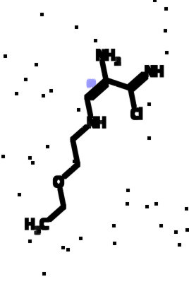 CCOCCN/C=C(/N)C(=N)Cl